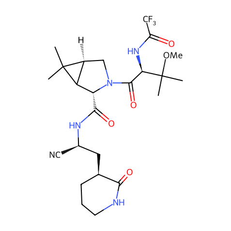 COC(C)(C)[C@H](NC(=O)C(F)(F)F)C(=O)N1C[C@H]2C([C@H]1C(=O)N[C@H](C#N)C[C@@H]1CCCNC1=O)C2(C)C